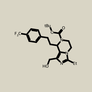 CCc1nc(CO)c2n1CCN(C(=O)OC(C)(C)C)C2CCc1ccc(C(F)(F)F)cc1